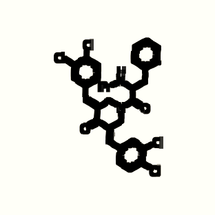 CC(C)NC(Cc1ccccc1)C(=O)N1C/C(=C\c2ccc(Cl)c(Cl)c2)C(=O)/C(=C/c2ccc(Cl)c(Cl)c2)C1